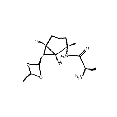 CC1OC([C@H]2[C@@H]3CC[C@](C)(NC(=O)[C@@H](C)N)[C@@H]32)O1